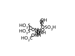 O=C(O)c1cccc(Nc2nc(Nc3ccc4c(S(=O)(=O)O)cc(SOOO)cc4c3)nc(Nc3ccc4c(S(=O)(=O)O)cc(S(=O)(=O)O)cc4c3)n2)c1